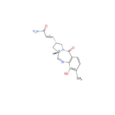 Cc1ccc2c(c1O)N=C[C@@H]1CC(/C=C/C(N)=O)CN1C2=O